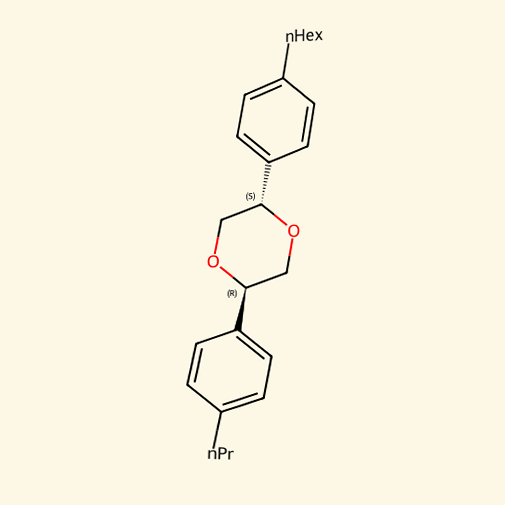 CCCCCCc1ccc([C@H]2CO[C@H](c3ccc(CCC)cc3)CO2)cc1